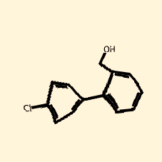 OCc1ccccc1-c1ccc(Cl)cc1